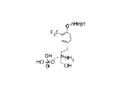 CCCCCCCOc1ccc(CC[C@](N)(CO)COP(=O)(O)O)cc1C(F)(F)F